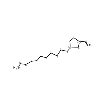 C=CN1CCN(CCCCCCCCCCN)C1